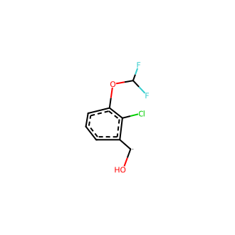 O[CH]c1cccc(OC(F)F)c1Cl